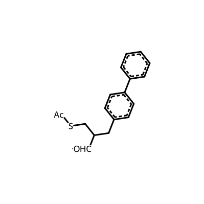 CC(=O)SCC([C]=O)Cc1ccc(-c2ccccc2)cc1